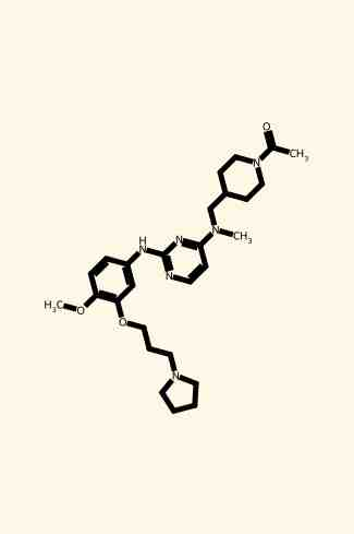 COc1ccc(Nc2nccc(N(C)CC3CCN(C(C)=O)CC3)n2)cc1OCCCN1CCCC1